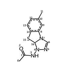 CC(=O)NN1N=CN2c3cc(C)ccc3SC12